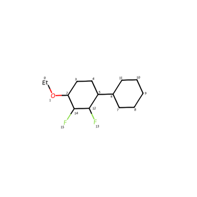 CCOC1CCC(C2CCCCC2)C(F)C1F